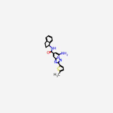 Cc1ccc(-c2nc3cc(C(=O)NC4CCc5ccccc54)cc(N)n3n2)s1